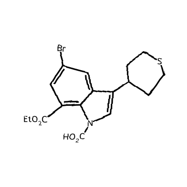 CCOC(=O)c1cc(Br)cc2c(C3CCSCC3)cn(C(=O)O)c12